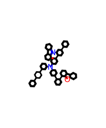 c1ccc(-c2ccc(-c3ccc(N(c4ccc(-c5ccccc5-c5cccc6c5oc5ccccc56)cc4)c4cccc(C5CCC(c6ccccc6)CC5)c4)cc3)c(-n3c4ccccc4c4ccccc43)c2)cc1